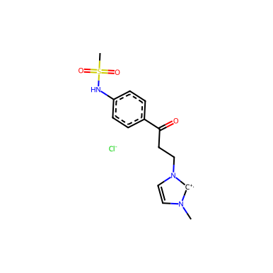 CN1[C+]N(CCC(=O)c2ccc(NS(C)(=O)=O)cc2)C=C1.[Cl-]